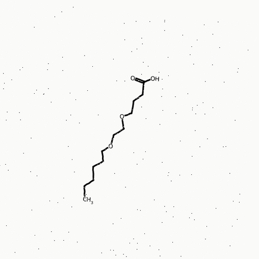 CCCCCCOCCOCCCC(=O)O